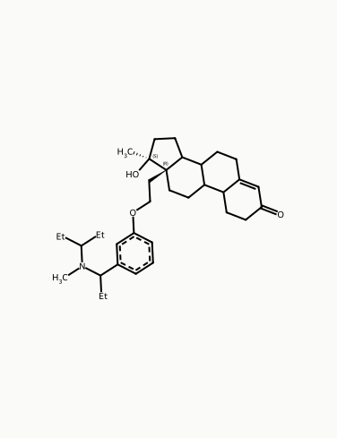 CCC(CC)N(C)C(CC)c1cccc(OCC[C@]23CCC4C5CCC(=O)C=C5CCC4C2CC[C@]3(C)O)c1